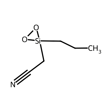 CCC[Si]1(CC#N)OO1